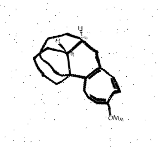 COc1ccc2c(c1)C13CCCC[C@@H](C2)[C@H]1CCCC3